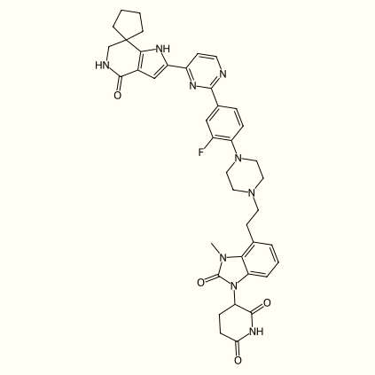 Cn1c(=O)n(C2CCC(=O)NC2=O)c2cccc(CCN3CCN(c4ccc(-c5nccc(-c6cc7c([nH]6)C6(CCCC6)CNC7=O)n5)cc4F)CC3)c21